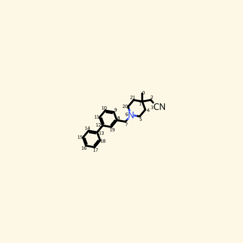 CC1(CC#N)CCN(Cc2cccc(-c3ccccc3)c2)CC1